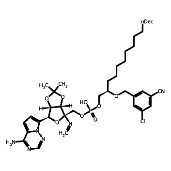 C=N[C@]1(COP(=O)(O)OC[C@@H](CCCCCCCCCCCCCCCCCC)OCc2cc(Cl)cc(C#N)c2)O[C@@H](c2ccc3c(N)ncnn23)[C@@H]2OC(C)(C)O[C@@H]21